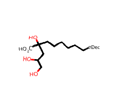 CCCCCCCCCCCCCCCCC(O)(CC(O)CO)C(=O)O